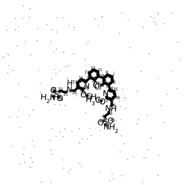 COc1nc(-c2cccc(-c3cccc(-c4ccc(CNCCS(N)(=O)=O)c(OC)n4)c3Cl)c2Cl)ccc1CNCCS(N)(=O)=O